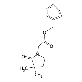 CC1(C)CCN(CC(=O)OCc2ccccc2)C1=O